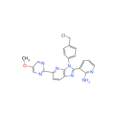 COc1cnc(-c2ccc3nc(-c4cccnc4N)n(-c4ccc(CCl)cc4)c3n2)nc1